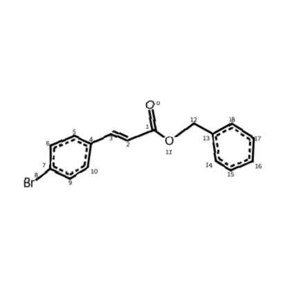 O=C(/C=C/c1ccc(Br)cc1)OCc1ccccc1